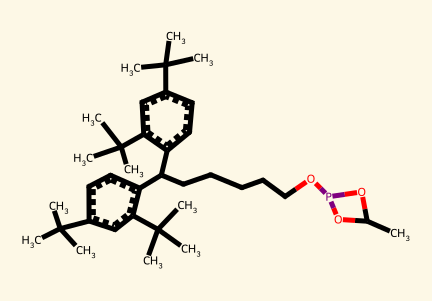 CC1OP(OCCCCCC(c2ccc(C(C)(C)C)cc2C(C)(C)C)c2ccc(C(C)(C)C)cc2C(C)(C)C)O1